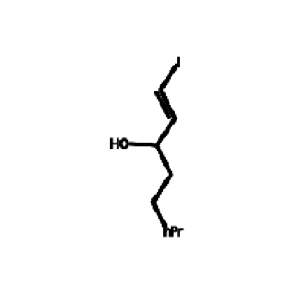 CCCCCC(O)C=CI